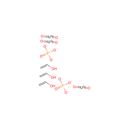 C=CO.C=CO.C=CO.O=P([O-])([O-])[O-].O=P([O-])([O-])[O-].[O]=[U+2]=[O].[O]=[U+2]=[O].[O]=[U+2]=[O]